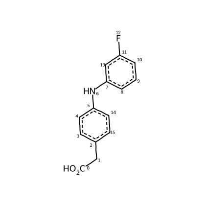 O=C(O)Cc1ccc(Nc2cccc(F)c2)cc1